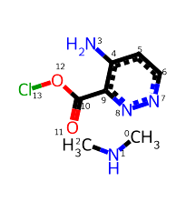 CNC.Nc1ccnnc1C(=O)OCl